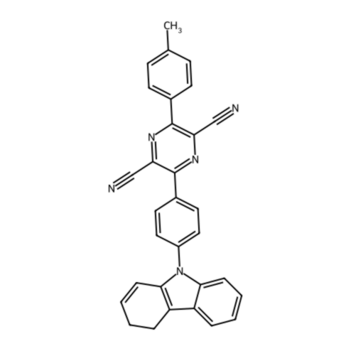 Cc1ccc(-c2nc(C#N)c(-c3ccc(-n4c5c(c6ccccc64)CCC=C5)cc3)nc2C#N)cc1